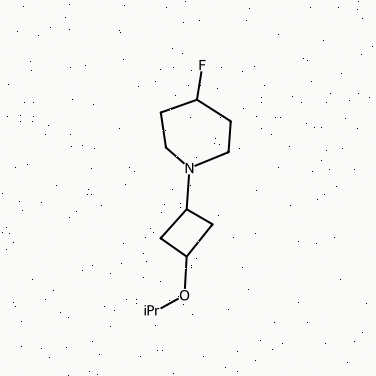 CC(C)OC1CC(N2CCC(F)CC2)C1